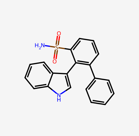 NS(=O)(=O)c1cccc(-c2ccccc2)c1-c1c[nH]c2ccccc12